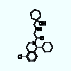 O=C(CNCC1(O)CCCCC1)N1CCc2c(Cl)cccc2C1C1CCCCC1